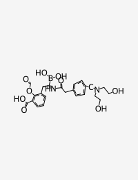 O=COc1c(C[C@H](NC(=O)Cc2ccc(CN(CCO)CCO)cc2)B(O)O)cccc1C(=O)O